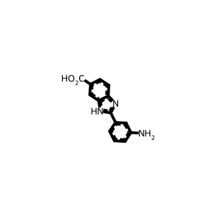 Nc1cccc(-c2nc3ccc(C(=O)O)cc3[nH]2)c1